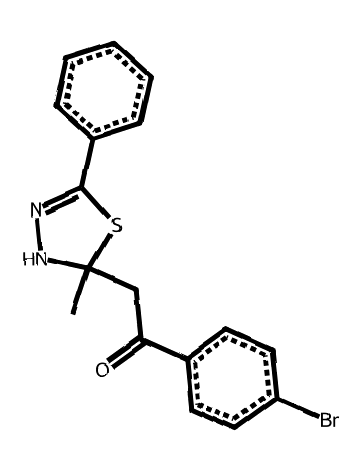 CC1(CC(=O)c2ccc(Br)cc2)NN=C(c2ccccc2)S1